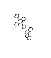 c1ccc(-c2c3ccccc3c(-c3ccc(-c4cc5sc6ccccc6c5c5ccccc45)cc3)c3ccccc23)cc1